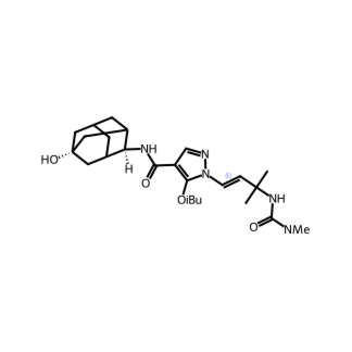 CNC(=O)NC(C)(C)/C=C/n1ncc(C(=O)N[C@H]2C3CC4CC2C[C@](O)(C4)C3)c1OCC(C)C